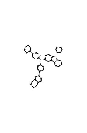 c1ccc(-c2cnc(N(c3ccc(-c4ccc5ccccc5c4)cc3)c3ccc4c(c3)c3ccccc3n4-c3ccccc3)nc2)cc1